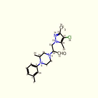 Cc1cccc(N2CCN(C(C=O)Cn3nc(C(F)(F)F)c(Cl)c3C)CC2C)c1